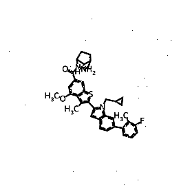 COc1cc(C(=O)N2CC3CCC2[C@@H]3N)cc2sc(-c3cc4ccc(-c5cccc(F)c5C)cc4n3CC3CC3)c(C)c12